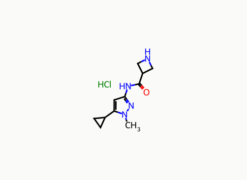 Cl.Cn1nc(NC(=O)C2CNC2)cc1C1CC1